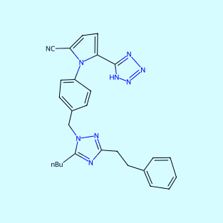 CCCCc1nc(CCc2ccccc2)nn1Cc1ccc(-n2c(C#N)ccc2-c2nnn[nH]2)cc1